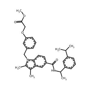 COC(=O)COc1cccc(Cn2c(C)c(C)c3cc(C(=O)NC(C)c4cccc(C(C)C)c4)ccc32)c1